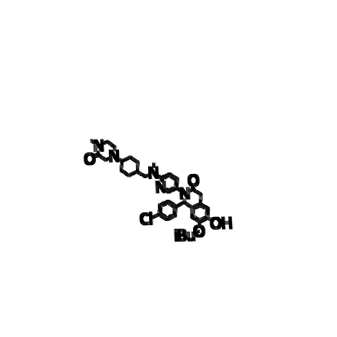 CCC(C)Oc1cc2c(cc1O)CC(=O)N(c1ccc(N(C)CC3CCC(N4CCN(C)C(=O)C4)CC3)nc1)C2c1ccc(Cl)cc1